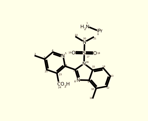 CC(C)N.Cc1cnc(-c2nc3c(C)cccc3n2S(=O)(=O)N(C)C)c(C(=O)O)c1